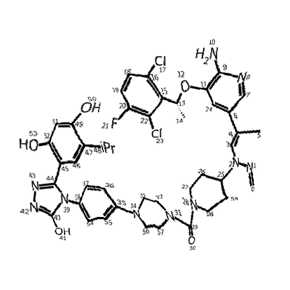 C=NN(/C=C(\C)c1cnc(N)c(O[C@H](C)c2c(Cl)ccc(F)c2Cl)c1)C1CCN(C(=O)N2CCN(c3ccc(-n4c(O)nnc4-c4cc(C(C)C)c(O)cc4O)cc3)CC2)CC1